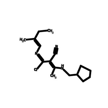 CC/C(C)=C/N=C(Cl)\C(C#N)=C(/C)NCC1CCCC1